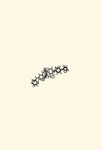 O=CN(O)C(CCCc1ncccn1)CS(=O)(=O)N1CCN(c2ccc(-c3ccco3)cn2)CC1